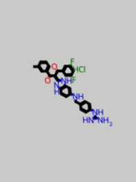 Cc1cccc(C(=O)/C(C(=O)c2cc(F)cc(F)c2)=C2\Nc3ccc(NCc4ccc(NC(=N)N)cc4)cc3N2)c1.Cl